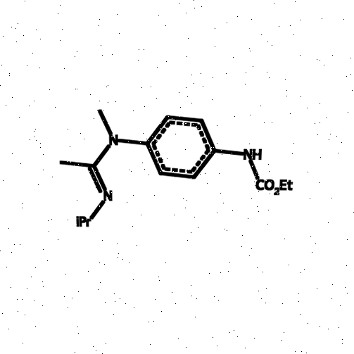 CCOC(=O)Nc1ccc(N(C)C(C)=NC(C)C)cc1